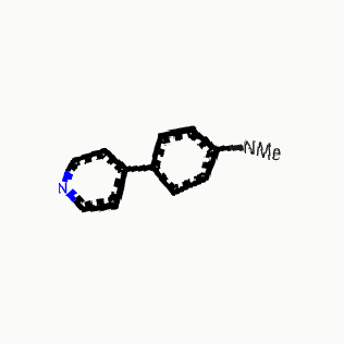 CNc1ccc(-c2ccncc2)cc1